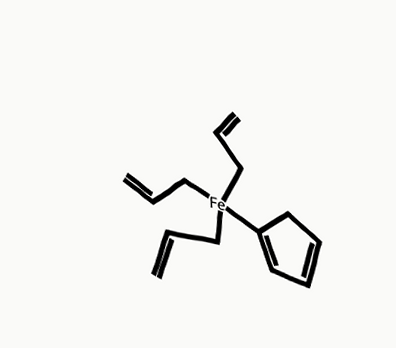 C=C[CH2][Fe]([CH2]C=C)([CH2]C=C)[C]1=CC=CC1